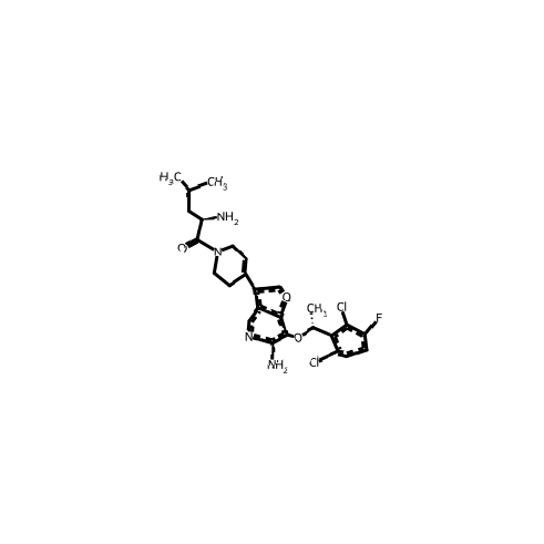 CC(C)C[C@@H](N)C(=O)N1CC=C(c2coc3c(O[C@H](C)c4c(Cl)ccc(F)c4Cl)c(N)ncc23)CC1